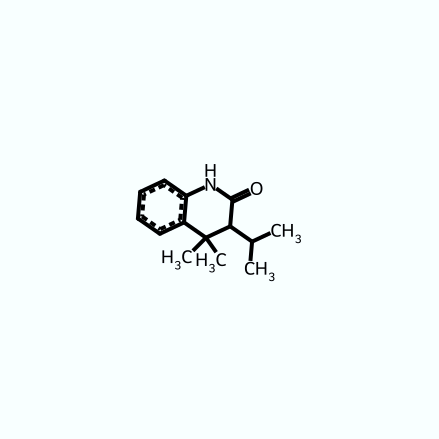 CC(C)C1C(=O)Nc2ccccc2C1(C)C